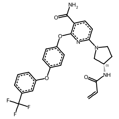 C=CC(=O)N[C@H]1CCN(c2ccc(C(N)=O)c(Oc3ccc(Oc4cccc(C(F)(F)F)c4)cc3)n2)C1